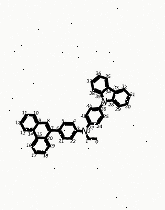 CCN(c1ccc(-c2cc3ccccc3c3ccccc23)cc1)c1ccc(-n2c3ccccc3c3ccccc32)cc1